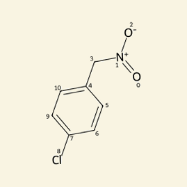 O=[N+]([O-])Cc1ccc(Cl)cc1